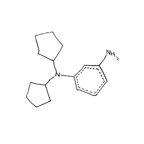 Nc1cccc(N(C2CCCC2)C2CCCC2)c1